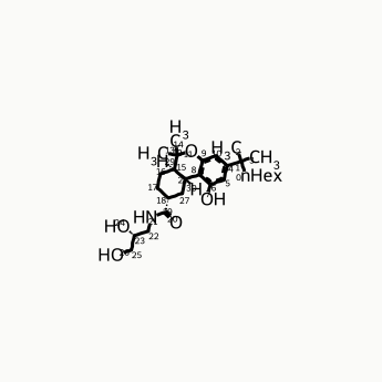 CCCCCCC(C)(C)c1cc(O)c2c(c1)OC(C)(C)[C@@H]1CC[C@@H](C(=O)NC[C@@H](O)CO)C[C@@H]21